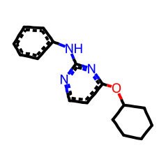 c1ccc(Nc2nccc(OC3CCCCC3)n2)cc1